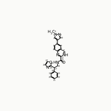 Cn1cc(-c2ccc3c(c2)SNC(C(=O)NCC(c2ccccc2)c2ncco2)=N3)cn1